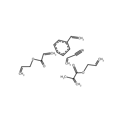 C=CC#N.C=CCOC(=O)C(=C)C.C=CCOC(=O)C=C.C=Cc1ccccc1